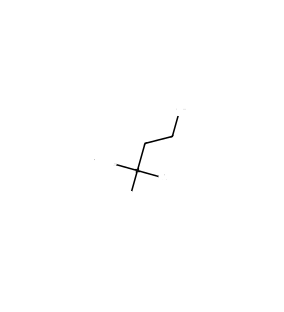 CC(=O)OC(C)(CCO)C(C)=O